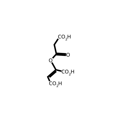 O=C(O)/C=C(/OC(=O)CC(=O)O)C(=O)O